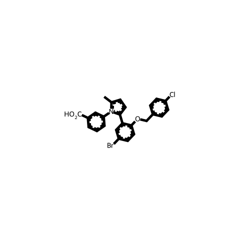 Cc1ccc(-c2cc(Br)ccc2OCc2ccc(Cl)cc2)n1-c1cccc(C(=O)O)c1